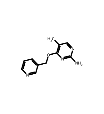 Cc1cnc(N)nc1OCc1cccnc1